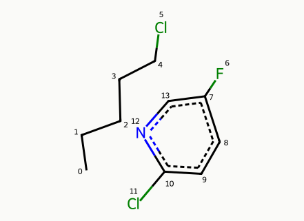 CCCCCCl.Fc1ccc(Cl)nc1